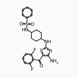 Nc1nc(NC2CCC(NS(=O)(=O)c3ccccc3)CC2)sc1C(=O)c1c(F)cccc1F